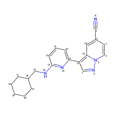 N#Cc1ccn2ncc(-c3cccc(NCC4CCCCC4)n3)c2c1